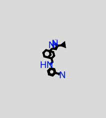 Cn1nc(C23CCCC(C2)C(CNc2cccc(C#N)c2)CC3)cc1C1CC1